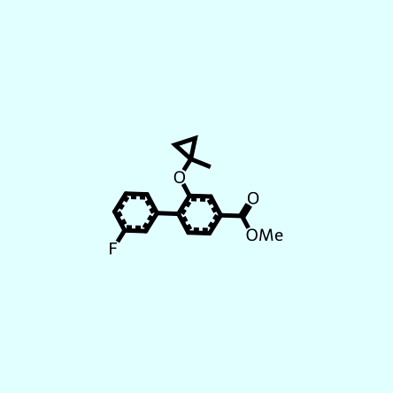 COC(=O)c1ccc(-c2cccc(F)c2)c(OC2(C)CC2)c1